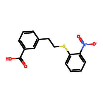 O=C(O)c1cccc(CCSc2ccccc2[N+](=O)[O-])c1